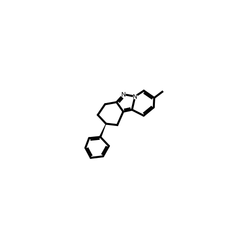 Cc1ccc2c3c(nn2c1)CC[C@H](c1ccccc1)C3